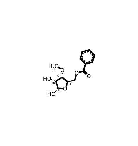 CO[C@H]1[C@@H](O)[C@@H](O)O[C@@H]1COC(=O)c1ccccc1